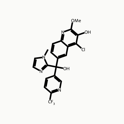 COc1nc2ccc(C(O)(c3ccc(C(F)(F)F)nc3)c3nccn3C)cc2c(Cl)c1O